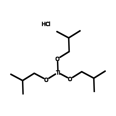 CC(C)C[O][Ti]([O]CC(C)C)[O]CC(C)C.Cl